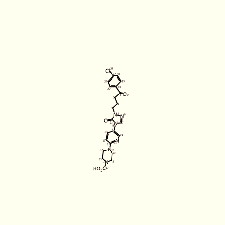 O=C(CCCn1ncn(-c2ccc(N3CCN(C(=O)O)CC3)nc2)c1=O)c1ccc(Cl)cc1